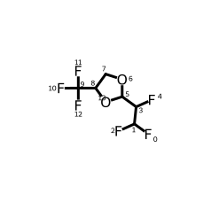 FC(F)C(F)C1OCC(C(F)(F)F)O1